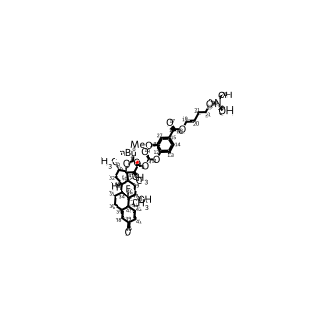 CCCCC(=O)O[C@]1(C(=O)COC(=O)Oc2ccc(C(=O)OCCCCON(O)O)cc2OC)[C@@H](C)C[C@H]2C3CCC4=CC(=O)C=C[C@]4(C)[C@@]3(F)[C@@H](O)C[C@@]21C